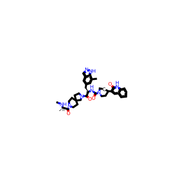 CN[C@@H](C)C(=O)N1CCC2(CC1)CCN(C(=O)[C@@H](Cc1cc(C)c3[nH]ncc3c1)NC(=O)N1CCC(c3cc4ccccc4[nH]c3=O)CC1)C2